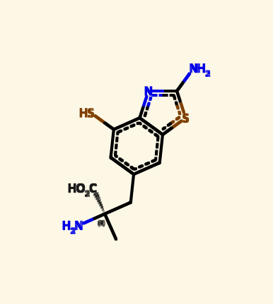 C[C@@](N)(Cc1cc(S)c2nc(N)sc2c1)C(=O)O